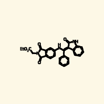 CCOC(=O)CN1C(=O)c2ccc(NC(=C3C(=O)Nc4ccccc43)c3ccccc3)cc2C1=O